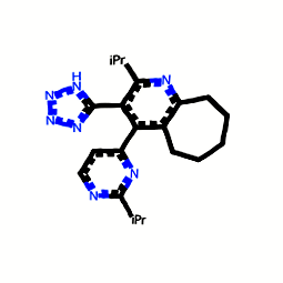 CC(C)c1nccc(-c2c3c(nc(C(C)C)c2-c2nnn[nH]2)CCCCC3)n1